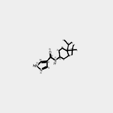 CC(C)C1(C(C)(C)C)CCC(NC(=O)c2cn[nH]c2)CC1